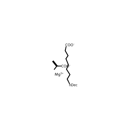 C=C(C)C(=O)[O-].CCCCCCCCCCCCCCCCCC(=O)[O-].[Mg+2]